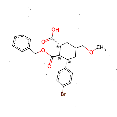 COCC1C[C@H](c2ccc(Br)cc2)[C@@H](C(=O)OCc2ccccc2)[C@H](C(=O)O)C1